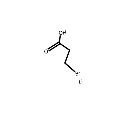 O=C(O)CCBr.[Li]